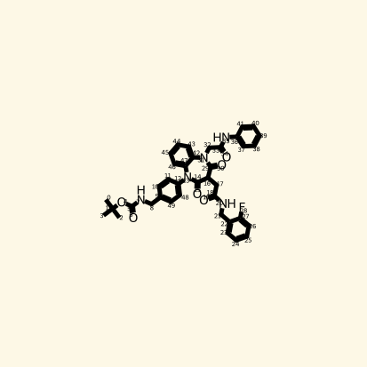 CC(C)(C)OC(=O)NCc1ccc(N2C(=O)C(CC(=O)NCc3ccccc3F)C(=O)N(CC(=O)Nc3ccccc3)c3ccccc32)cc1